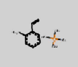 C=Cc1ccccc1S(=O)(=O)O.CCCC[PH](CCCC)(CCCC)CCCC